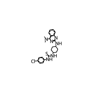 CN(C)c1nc(NC2CCC(NC(=S)Nc3ccc(Cl)cc3)CC2)nc2ccccc12